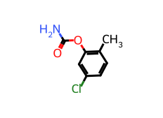 Cc1ccc(Cl)cc1OC(N)=O